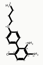 CCCCOc1ccc(-c2c(Cl)ccc(N)c2N)cc1